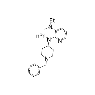 CCCN(c1ncccc1N(C)CC)C1CCN(Cc2ccccc2)CC1